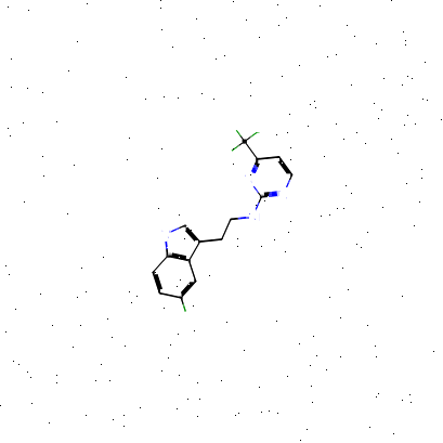 FC(F)(F)c1ccnc(NCCc2c[nH]c3ccc(Cl)cc23)n1